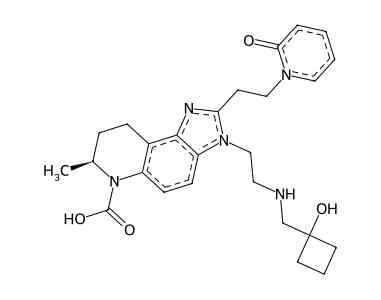 C[C@H]1CCc2c(ccc3c2nc(CCn2ccccc2=O)n3CCNCC2(O)CCC2)N1C(=O)O